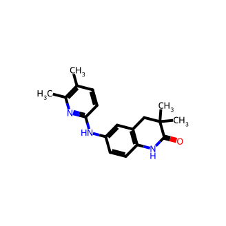 Cc1ccc(Nc2ccc3c(c2)CC(C)(C)C(=O)N3)nc1C